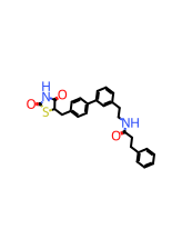 O=C(CCc1ccccc1)NCCc1cccc(-c2ccc(CC3SC(=O)NC3=O)cc2)c1